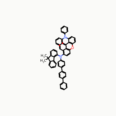 CC1(C)c2ccccc2-c2c(N(c3ccc(-c4ccc(-c5ccccc5)cc4)cc3)c3ccc4c5c(cccc35)-c3c(cccc3N(c3ccccc3)c3ccccc3)O4)cccc21